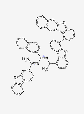 CC(/N=C(\N=C(/N)c1ccc2c(c1)oc1ccccc12)c1ccc2ccccc2c1)c1cccc2oc3c(-c4cccc5oc6cc7ccccc7cc6c45)cccc3c12